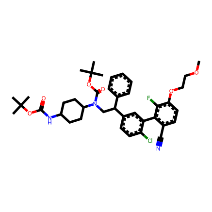 COCCOc1ccc(C#N)c(-c2cc(C(CN(C(=O)OC(C)(C)C)C3CCC(NC(=O)OC(C)(C)C)CC3)c3ccccc3)ccc2Cl)c1F